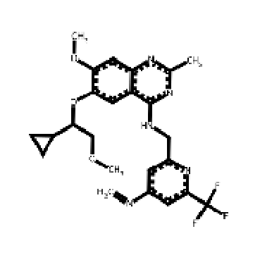 C=Nc1cc(CNc2nc(C)nc3cc(OC)c(OC(COC)C4CC4)cc23)nc(C(F)(F)F)c1